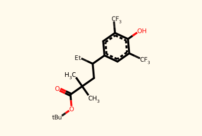 CCC(CC(C)(C)C(=O)OC(C)(C)C)c1cc(C(F)(F)F)c(O)c(C(F)(F)F)c1